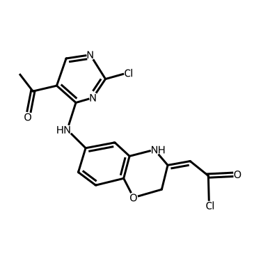 CC(=O)c1cnc(Cl)nc1Nc1ccc2c(c1)N/C(=C/C(=O)Cl)CO2